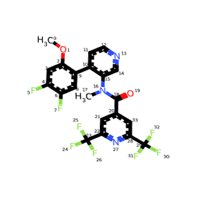 COc1cc(F)c(F)cc1-c1ccncc1N(C)C(=O)c1cc(C(F)(F)F)nc(C(F)(F)F)c1